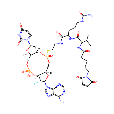 CC(C)C(NC(=O)CCCCN1C(=O)C=CC1=O)C(=O)NC(CCCNC(N)=O)C(=O)NCCSP1(=O)OC[C@H]2O[C@@H](n3cnc4c(N)ncnc43)[C@H](F)[C@@H]2OP(=O)(O)OC[C@H]2O[C@@H](n3ccc(=O)[nH]c3=O)[C@H](F)[C@@H]2O1